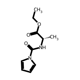 CCOC(=O)[C@H](C)NC(=O)n1cccc1